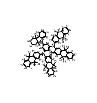 CC1(C)c2ccccc2C(C)(C)c2cc(N3c4cc5c(cc4B4c6cc7c(cc6N(c6ccc8c(c6)C(C)(C)c6ccccc6C8(C)C)c6cc(N8c9ccccc9C9(C)CCCCC89C)cc3c64)C(C)(C)c3ccccc3C7(C)C)C(C)(C)c3ccccc3C5(C)C)ccc21